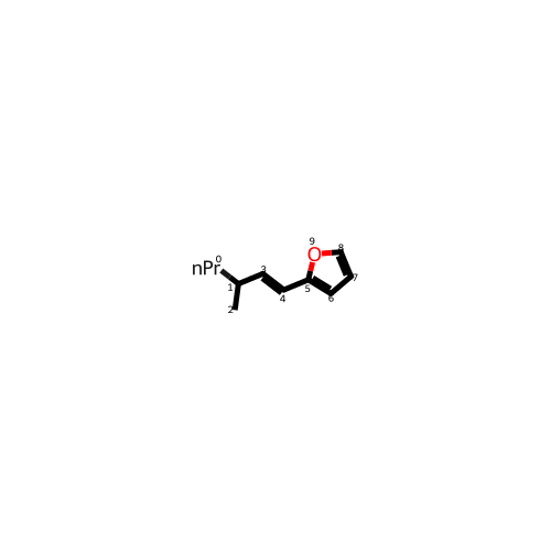 CCCC(C)/C=C/c1ccco1